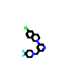 FC1(F)CCN(Cc2cncc(N3CCc4cc(Cl)ccc4C3)c2)CC1